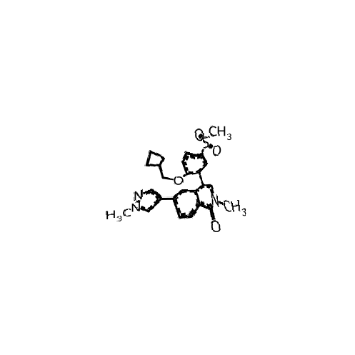 Cn1cc(-c2ccc3c(=O)n(C)cc(-c4cc(S(C)(=O)=O)ccc4OCC4CCC4)c3c2)cn1